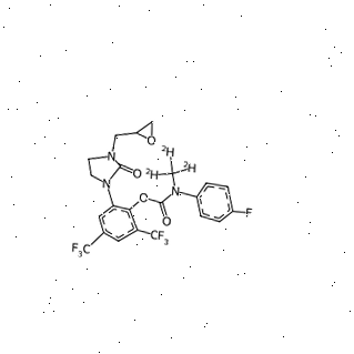 [2H]C([2H])([2H])N(C(=O)Oc1c(N2CCN(CC3CO3)C2=O)cc(C(F)(F)F)cc1C(F)(F)F)c1ccc(F)cc1